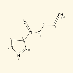 C=CCOC(=O)n1cnnn1